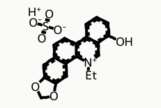 CC[n+]1cc2c(O)cccc2c2ccc3cc4c(cc3c21)OCO4.O=S(=O)([O-])[O-].[H+]